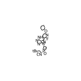 CC(C)(C)C=C(C#N)C(=O)n1ccc(-n2nc(-c3ccc(Oc4ccccc4)nc3F)c3c(N)ncnc32)c1